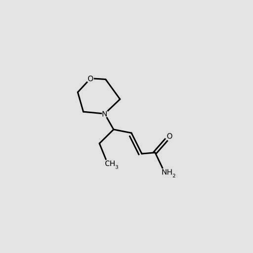 CCC(C=CC(N)=O)N1CCOCC1